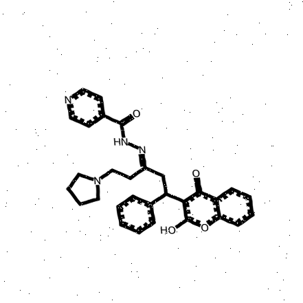 O=C(N/N=C(\CCN1CCCC1)CC(c1ccccc1)c1c(O)oc2ccccc2c1=O)c1ccncc1